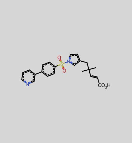 CC(C)(/C=C/C(=O)O)Cc1ccn(S(=O)(=O)c2ccc(-c3cccnc3)cc2)c1